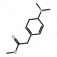 COC(=O)CC1=CCC(N(C)C)C=C1